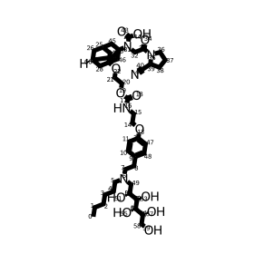 CCCCCCN(CCc1ccc(OCCNC(=O)OCCOC23CC4C[C@H](C2)CC(N(CC(=O)N2CCCC2C#N)C(=O)O)(C4)C3)cc1)C[C@H](O)[C@@H](O)[C@H](O)[C@H](O)CO